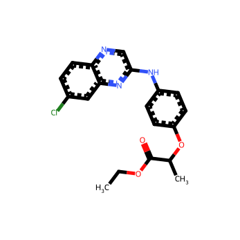 CCOC(=O)C(C)Oc1ccc(Nc2cnc3ccc(Cl)cc3n2)cc1